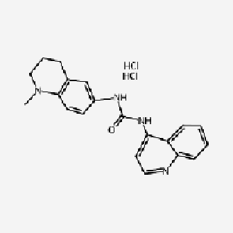 CN1CCCc2cc(NC(=O)Nc3ccnc4ccccc34)ccc21.Cl.Cl